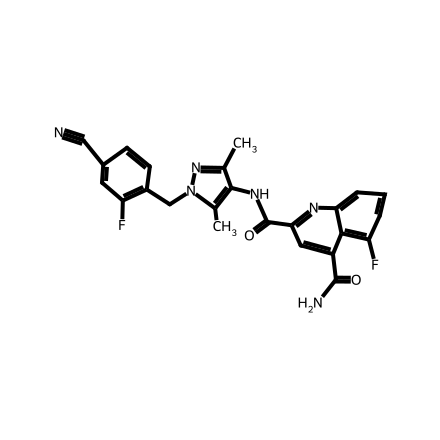 Cc1nn(Cc2ccc(C#N)cc2F)c(C)c1NC(=O)c1cc(C(N)=O)c2c(F)cccc2n1